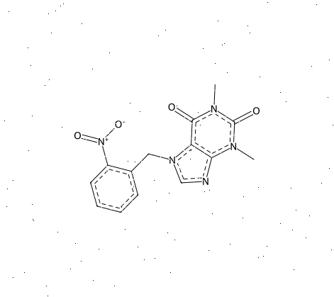 Cn1c(=O)c2c(ncn2Cc2ccccc2[N+](=O)[O-])n(C)c1=O